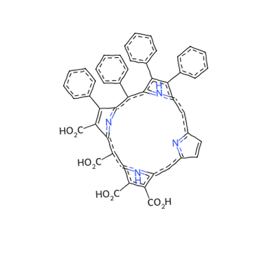 O=C(O)C1=C(c2ccccc2)c2nc1c(C(=O)O)c1[nH]c(cc3nc(cc4[nH]c(c2-c2ccccc2)c(-c2ccccc2)c4-c2ccccc2)C=C3)c(C(=O)O)c1C(=O)O